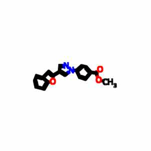 COC(=O)c1ccc(-n2cc(-c3cc4ccccc4o3)cn2)cc1